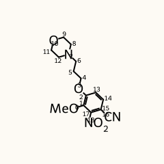 COc1c(OCCCN2CCOCC2)ccc(C#N)c1[N+](=O)[O-]